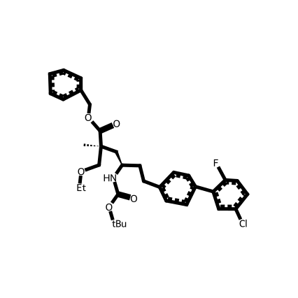 CCOC[C@](C)(C[C@@H](CCc1ccc(-c2cc(Cl)ccc2F)cc1)NC(=O)OC(C)(C)C)C(=O)OCc1ccccc1